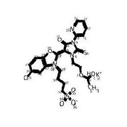 CC(O)OCCN1C(=S)N(c2ccccn2)C(=O)C1=C1Oc2ccc(Cl)cc2N1CCCCS(=O)(=O)[O-].[K+]